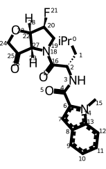 CC(C)C[C@H](NC(=O)c1cc2ccccc2n1C)C(=O)N1C[C@H](F)[C@H]2OCC(=O)[C@H]21